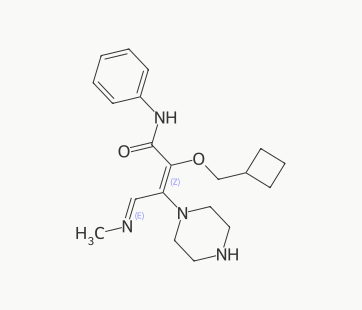 C/N=C/C(=C(/OCC1CCC1)C(=O)Nc1ccccc1)N1CCNCC1